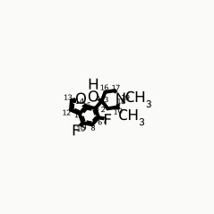 CC1CC(O)(c2c(F)cc(F)c3ccoc23)CCN1C